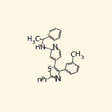 CCCc1nc(-c2cccc(C)c2)c(-c2ccnc(N[C@@H](C)c3ccccc3)c2)s1